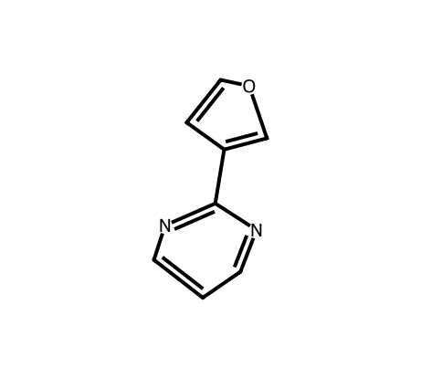 c1cnc(-c2ccoc2)nc1